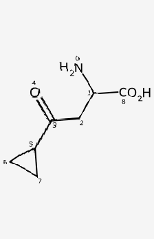 NC(CC(=O)C1CC1)C(=O)O